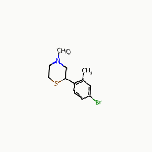 Cc1cc(Br)ccc1C1CN(C=O)CCS1